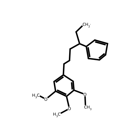 [CH2]CC(CCCc1cc(OC)c(OC)c(OC)c1)c1ccccc1